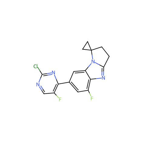 Fc1cnc(Cl)nc1-c1cc(F)c2nc3n(c2c1)C1(CC3)CC1